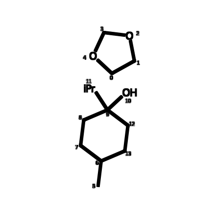 C1COCO1.CC1CCC(O)(C(C)C)CC1